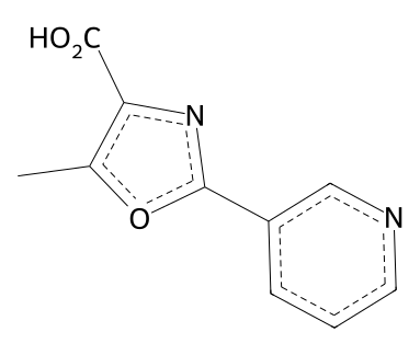 Cc1oc(-c2cccnc2)nc1C(=O)O